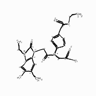 CCOC(=O)c1ccc(N(CC(N)=O)C(=O)Cn2c(=O)n(CC)c3cc(C)c(C)cc32)cc1